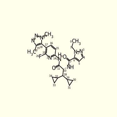 CCn1nccc1C(=O)N[C@@H](C(=O)Nc1ccc(-c2c(C)nnn2C)c(F)n1)C(C1CC1)C1CC1